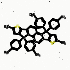 Cc1ccc([Si]2(c3ccc(C)cc3)c3cc(C)sc3-c3ccc4c5c(ccc4c32)-c2sc(C)cc2[Si]5(c2ccc(C)cc2)c2ccc(C)cc2)cc1